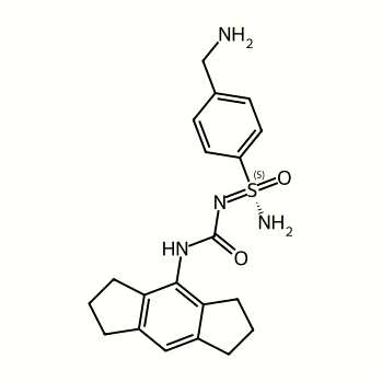 NCc1ccc([S@@](N)(=O)=NC(=O)Nc2c3c(cc4c2CCC4)CCC3)cc1